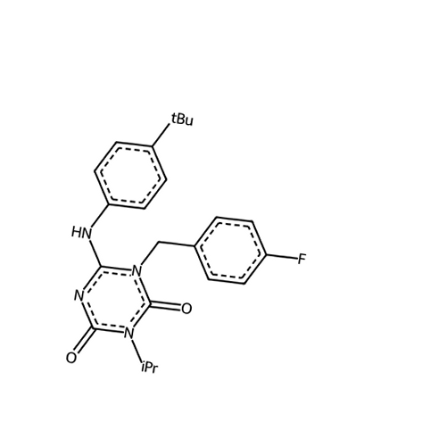 CC(C)n1c(=O)nc(Nc2ccc(C(C)(C)C)cc2)n(Cc2ccc(F)cc2)c1=O